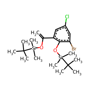 C=C(O[Si](C)(C)C(C)(C)C)c1cc(Cl)cc(Br)c1O[Si](C)(C)C(C)(C)C